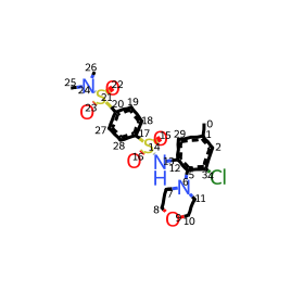 Cc1cc(Cl)c(N2CCOCC2)c(NS(=O)(=O)c2ccc(S(=O)(=O)N(C)C)cc2)c1